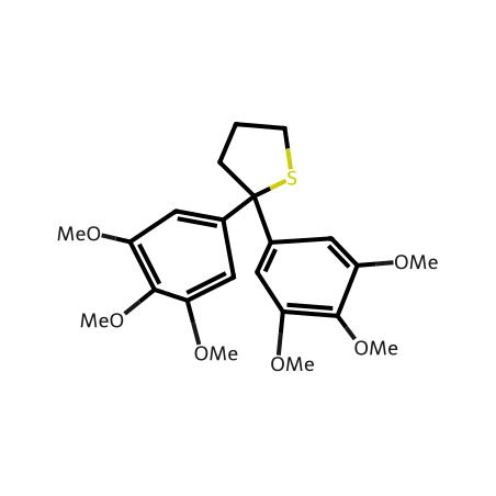 COc1cc(C2(c3cc(OC)c(OC)c(OC)c3)CCCS2)cc(OC)c1OC